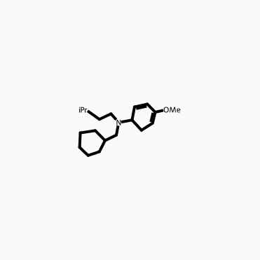 COC1=CCC(N(CCC(C)C)CC2CCCCC2)C=C1